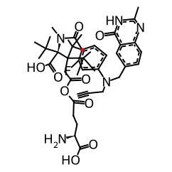 C#CCN(Cc1ccc2nc(C)[nH]c(=O)c2c1)c1ccc(C(=O)N(C)[C@@](C(=O)O)(C(C)(C)C)C(CC(=O)OC(=O)CC[C@H](N)C(=O)O)(C(C)(C)C)C(C)(C)C)c(F)c1